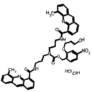 Cc1cccc2cc3cccc(C(=O)NCCCN(CCCNC(=O)c4cccc5cc6cccc(C)c6nc45)C(=O)OCc4ccc([N+](=O)[O-])cc4OCCCO)c3nc12.Cl.Cl